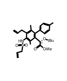 C=CCc1c(C)c(-c2ccc(C)cc2)c([C@H](OC(C)(C)C)C(=O)OC)c(C)c1NS(=O)(=O)CC=C